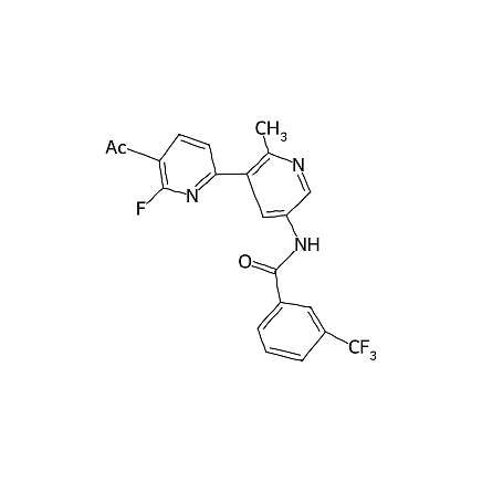 CC(=O)c1ccc(-c2cc(NC(=O)c3cccc(C(F)(F)F)c3)cnc2C)nc1F